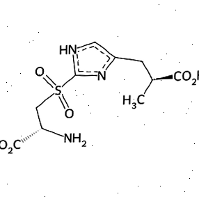 C[C@@H](Cc1c[nH]c(S(=O)(=O)C[C@H](N)C(=O)O)n1)C(=O)O